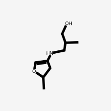 CC(CO)CNC1=COC(C)C1